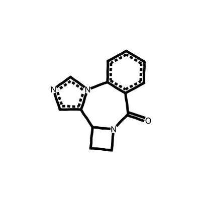 O=C1c2ccccc2-n2cncc2C2CCN12